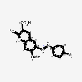 COc1cc2oc(=O)c(C(=O)O)cc2cc1/N=N/c1ccc(Br)cc1